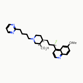 COc1ccc2nccc([C@@H](F)CC[C@@H]3CCN(CCCCc4ncccn4)C[C@@H]3C(=O)O)c2c1